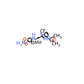 C=C1C[C@H](Nc2cccc3c2cc(C#CCNc2ccc(S(N)(=O)=O)cc2OC)n3CC(F)(F)F)C[C@H](C)O1